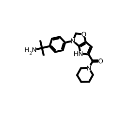 CC(C)(N)c1ccc(N2COc3cc(C(=O)N4CCCCC4)[nH]c32)cc1